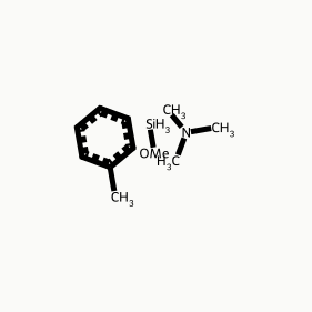 CN(C)C.CO[SiH3].Cc1ccccc1